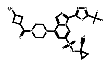 N#CC1(NS(=O)(=O)c2cc(N3CCN(C(=O)C4CC(N)C4)CC3)c3cnc(-c4nnc(C(F)(F)F)s4)n3c2)CC1